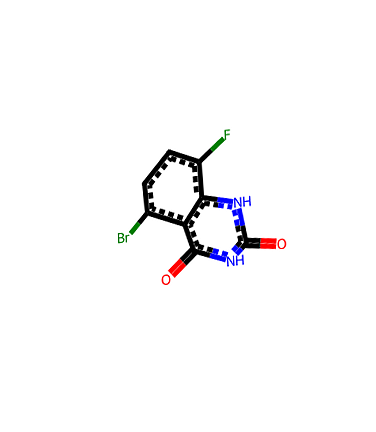 O=c1[nH]c(=O)c2c(Br)ccc(F)c2[nH]1